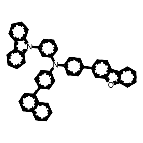 c1cc(N(c2ccc(-c3ccc4c(c3)oc3ccccc34)cc2)c2ccc(-c3cccc4ccccc34)cc2)cc(-n2c3ccccc3c3ccccc32)c1